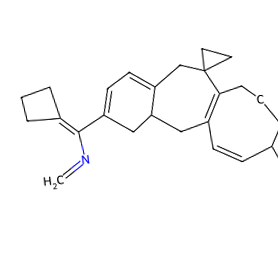 C=NC(C1=CC=C2CC3(CC3)C3=C(/C=C\C(I)CCC3)CC2C1)=C1CCC1